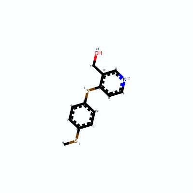 CSc1ccc(Sc2ccncc2CO)cc1